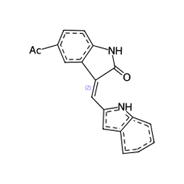 CC(=O)c1ccc2c(c1)/C(=C/c1cc3ccccc3[nH]1)C(=O)N2